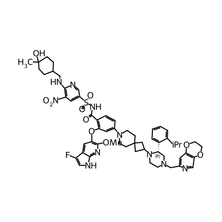 COc1nc2[nH]cc(F)c2cc1Oc1cc(N2CCC3(CC2)CC(N2CCN(Cc4cc5c(cn4)OCCO5)C[C@H]2c2ccccc2C(C)C)C3)ccc1C(=O)NS(=O)(=O)c1cnc(NCC2CCC(C)(O)CC2)c([N+](=O)[O-])c1